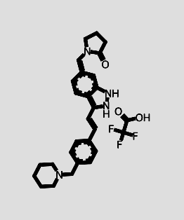 O=C(O)C(F)(F)F.O=C1CCCN1C=c1ccc2c(c1)NNC=2/C=C/c1ccc(CN2CCCCC2)cc1